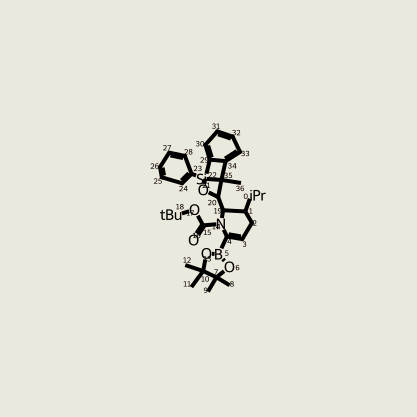 CC(C)C1CC=C(B2OC(C)(C)C(C)(C)O2)N(C(=O)OC(C)(C)C)C1C1O[Si]2(c3ccccc3)c3ccccc3C12C